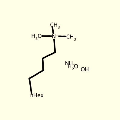 CCCCCCCCCC[N+](C)(C)C.N.O.[OH-]